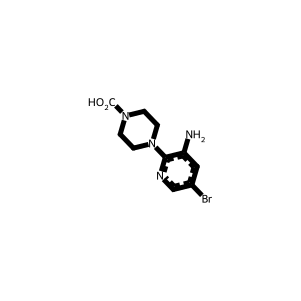 Nc1cc(Br)cnc1N1CCN(C(=O)O)CC1